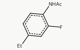 CCc1ccc(NC(C)=O)c(F)c1